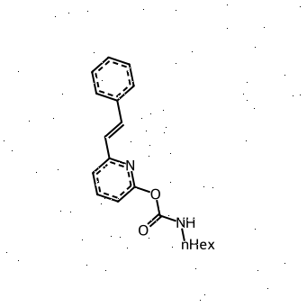 CCCCCCNC(=O)Oc1cccc(C=Cc2ccccc2)n1